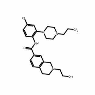 O=C(Nc1ccc(Cl)cc1N1CCN(CCC(F)(F)F)CC1)c1ccc2c(c1)CN(CCO)CC2